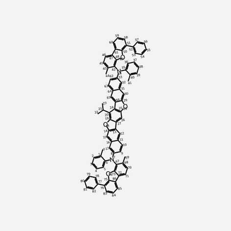 Cc1ccccc1N(c1ccc2cc3c(cc2c1)oc1c(C(C)C)c2c(cc13)oc1cc3cc(N(c4ccccc4C)c4c(C)ccc5c4oc4c(-c6ccccc6)cccc45)ccc3cc12)c1c(C)ccc2c1oc1c(-c3ccccc3)cccc12